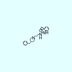 COc1ccccc1NC(=O)NCCCN1CCC(Cc2ccccc2)CC1